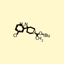 C=C(OC(C)(C)C)N1CCC(N)(c2cccc(Cl)c2)CC1